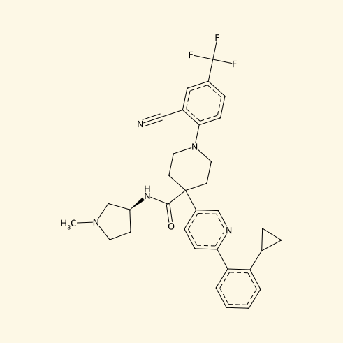 CN1CC[C@H](NC(=O)C2(c3ccc(-c4ccccc4C4CC4)nc3)CCN(c3ccc(C(F)(F)F)cc3C#N)CC2)C1